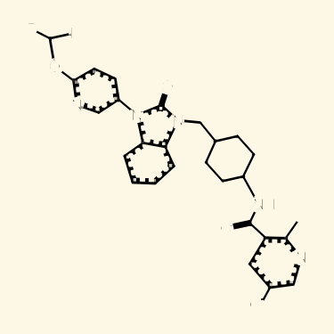 Cc1ncc(Cl)cc1C(=O)NC1CCC(Cn2c(=O)n(-c3ccc(OC(F)F)nc3)c3ccccc32)CC1